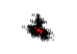 CC[C@H](C)[C@H](NC(=O)[C@H](CC(N)=O)NC(=O)[C@H](CCC(N)=O)NC(=O)[C@H](CC(C)C)NC(=O)CNC(=O)[C@@H](NC(=O)[C@H](CC(C)C)NC(=O)CNC(=O)[C@H](CCC(=O)O)NC(=O)[C@H](CC(C)C)NC(=O)[C@H](CO)NC(=O)[C@H](CCCNC(=N)N)NC(=O)[C@H](CC(C)C)NC(=O)[C@@H](NC(=O)[C@@H]1CCCN1C(=O)[C@H](CC(=O)O)NC(=O)[C@@H](NC(=O)[C@@H](N)CCCCN)[C@@H](C)O)C(C)C)C(C)C)C(=O)N[C@@H](CCCNC(=N)N)C(=O)O